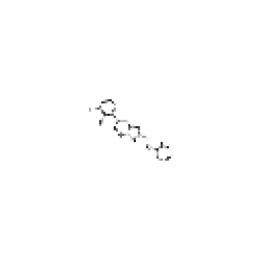 Fc1cccc(-c2cnc3nc(COc4ccccn4)cn3c2)c1F